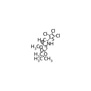 COC(=O)[C@H](CC(=O)OC(C)(C)C)NC(C)c1sc(Cl)c(Cl)c1Cl